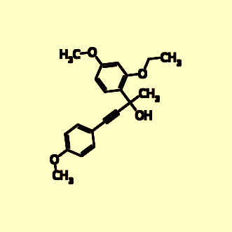 CCOc1cc(OC)ccc1C(C)(O)C#Cc1ccc(OC)cc1